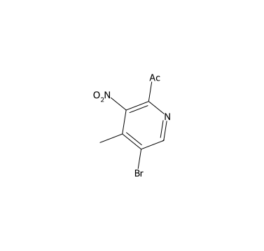 CC(=O)c1ncc(Br)c(C)c1[N+](=O)[O-]